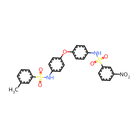 Cc1cccc(S(=O)(=O)Nc2ccc(Oc3ccc(NS(=O)(=O)c4cccc([N+](=O)[O-])c4)cc3)cc2)c1